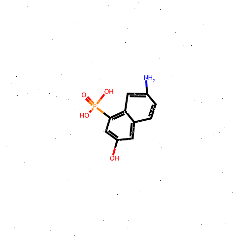 Nc1ccc2cc(O)[c]c(P(=O)(O)O)c2c1